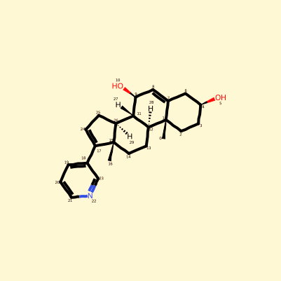 C[C@]12CC[C@H](O)CC1=C[C@H](O)[C@@H]1[C@@H]2CC[C@]2(C)C(c3cccnc3)=CC[C@@H]12